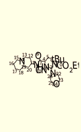 CCOC(=O)N=C(NC(CC(C)(C)C)C(=O)N(C#N)C1CCN2CCCCC2C1)N1CCOCC1